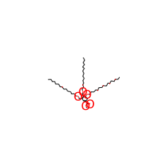 CCCCCCCCCCCCCCCCOc1cc(C(=O)OC)cc(COCCCCCCCCCCCCCCC)c1COCCCCCCCCCCCCCCC